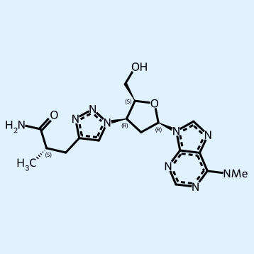 CNc1ncnc2c1ncn2[C@H]1C[C@@H](n2cc(C[C@H](C)C(N)=O)nn2)[C@@H](CO)O1